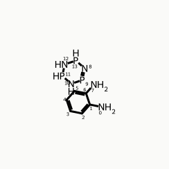 Nc1ccccc1N.n1p[nH][pH][nH][pH]1